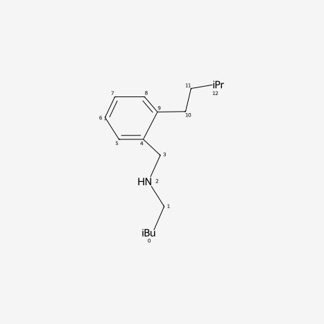 CCC(C)CNCc1c[c]ccc1CCC(C)C